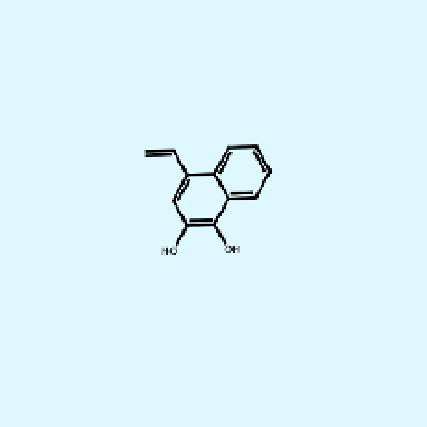 C=Cc1cc(O)c(O)c2ccccc12